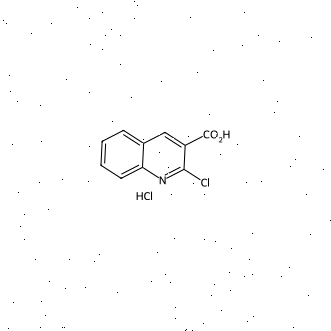 Cl.O=C(O)c1cc2ccccc2nc1Cl